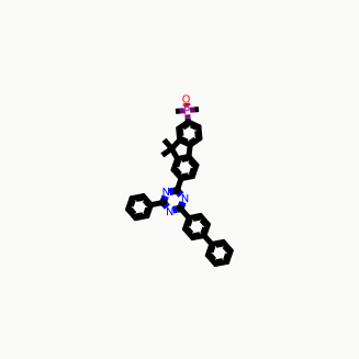 CC1(C)c2cc(-c3nc(-c4ccccc4)nc(-c4ccc(-c5ccccc5)cc4)n3)ccc2-c2ccc(P(C)(C)=O)cc21